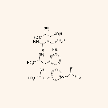 CC(C)C(N)C(=O)O.NC(=O)CC(N)C(=O)O.NC(CC(=O)O)C(=O)O.NC(Cc1ccccc1)C(=O)O.NC(Cc1ccccc1)C(=O)O